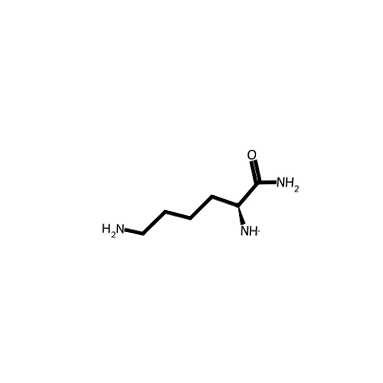 [NH][C@@H](CCCCN)C(N)=O